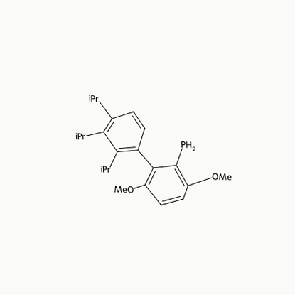 COc1ccc(OC)c(-c2ccc(C(C)C)c(C(C)C)c2C(C)C)c1P